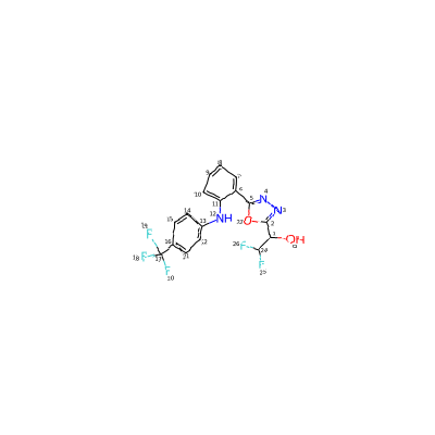 OC(c1nnc(-c2ccccc2Nc2ccc(C(F)(F)F)cc2)o1)C(F)F